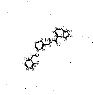 O=C(NCc1cccc(OCc2ccccc2F)c1)c1cccc2nncn12